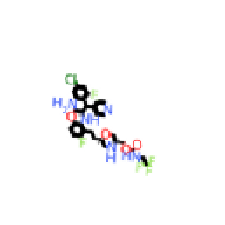 NC(=O)[C@@H](Nc1cccc(F)c1CC[C@@H]1CN[C@H](COC(=O)NCC(F)(F)F)CO1)C(c1ccc(Cl)cc1)c1ccncc1F